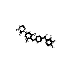 O=C(c1ccc(Cc2c(Cl)cc(N3N=CCNC3=O)cc2Cl)cc1)c1ncc(Cl)c(Cl)c1Cl